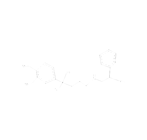 CCCCC(CNCCCC(C#N)(c1ccc(OC)c(OC)c1)C(C)C)c1ccccc1